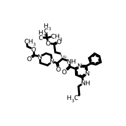 CCCNc1cc(C(=O)N[C@@H](CCC(=O)OC(C)(C)C)C(=O)N2CCN(C(=O)OCC)CC2)nc(-c2ccccc2)n1